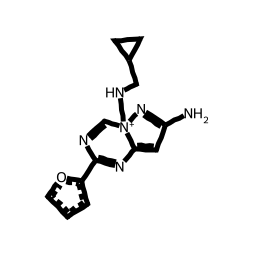 NC1=N[N+]2(NCC3CC3)C=NC(c3ccco3)=NC2=C1